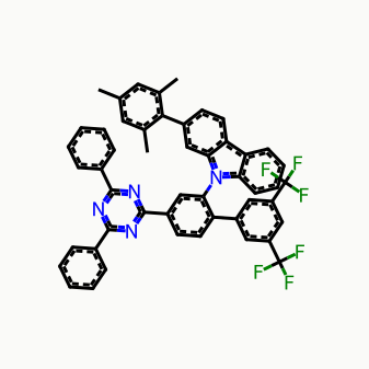 Cc1cc(C)c(-c2ccc3c4ccccc4n(-c4cc(-c5nc(-c6ccccc6)nc(-c6ccccc6)n5)ccc4-c4cc(C(F)(F)F)cc(C(F)(F)F)c4)c3c2)c(C)c1